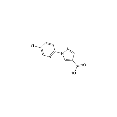 O=C(O)c1cnn(-c2ccc(Cl)cn2)c1